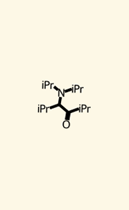 CC(C)C(=O)C(C(C)C)N(C(C)C)C(C)C